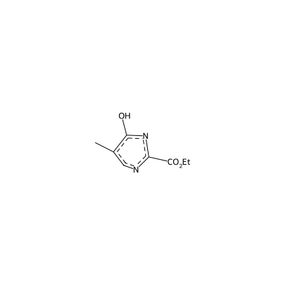 CCOC(=O)c1ncc(C)c(O)n1